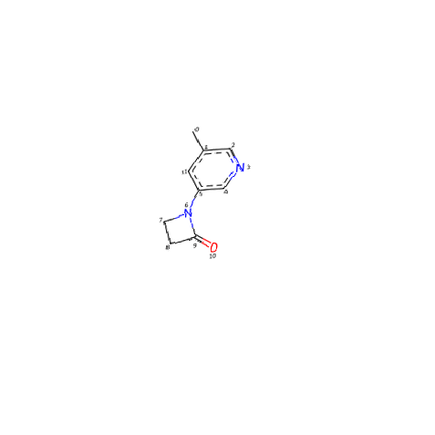 Cc1cncc(N2CCC2=O)c1